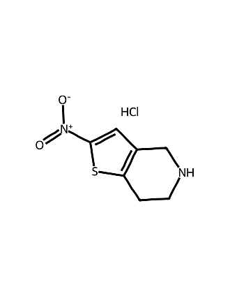 Cl.O=[N+]([O-])c1cc2c(s1)CCNC2